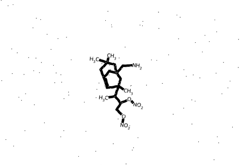 CC(C(CO[N+](=O)[O-])O[N+](=O)[O-])C1(C)C=C2CC(C)(C)CC(CN)(C2)C1